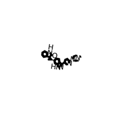 CN1CCN(c2ccc(-c3n[nH]c4cc([C@@H]5C[C@@]56C(=O)Nc5ccccc56)ccc34)cn2)CC1